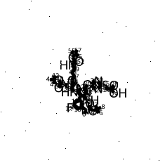 CN(C(=O)OC(C)(C)C)c1cc(F)cc2c1[nH]c1nc(Oc3cnc(SCC(=O)O)nc3)nc(N[C@H](CNC(=O)OC(C)(C)C)COCCCNC(=O)OC(C)(C)C)c12